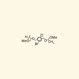 COCC(C)OCc1cc(Br)c(COC(C)COC)cc1Cl